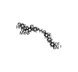 COc1cc(N2CCN(CCCCOc3ccc(C4CCN(c5ccc(C#N)c(C(F)(F)F)c5)CC4)c(F)c3)CC2)c(Cl)c2c1C(=O)N(C1CCC(=O)NC1=O)C2